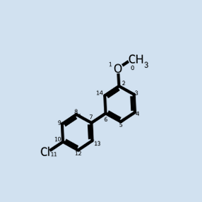 COc1cccc(-c2[c]cc(Cl)cc2)c1